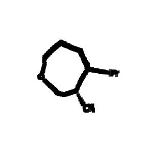 CC(C)C1CCCOC[C@H]1C#N